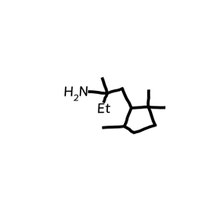 CCC(C)(N)CC1C(C)CCC1(C)C